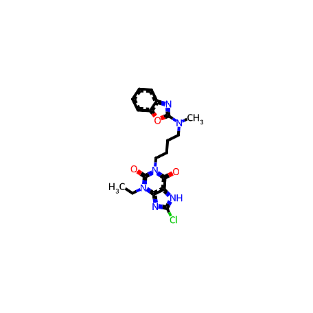 CCn1c(=O)n(CCCCN(C)c2nc3ccccc3o2)c(=O)c2[nH]c(Cl)nc21